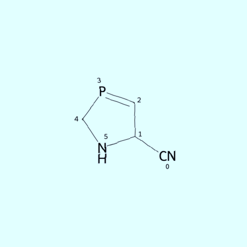 N#CC1C=PCN1